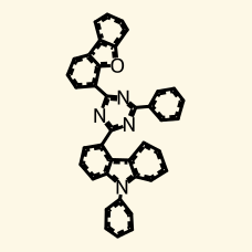 c1ccc(-c2nc(-c3cccc4c3oc3ccccc34)nc(-c3cccc4c3c3ccccc3n4-c3ccccc3)n2)cc1